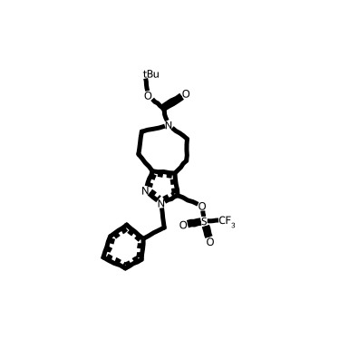 CC(C)(C)OC(=O)N1CCc2nn(Cc3ccccc3)c(OS(=O)(=O)C(F)(F)F)c2CC1